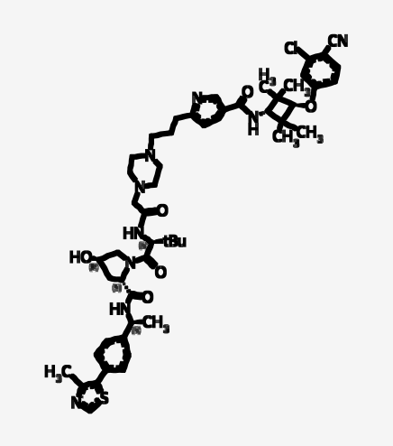 Cc1ncsc1-c1ccc([C@H](C)NC(=O)[C@@H]2C[C@@H](O)CN2C(=O)[C@@H](NC(=O)CN2CCN(CCCc3ccc(C(=O)N[C@H]4C(C)(C)[C@H](Oc5ccc(C#N)c(Cl)c5)C4(C)C)cn3)CC2)C(C)(C)C)cc1